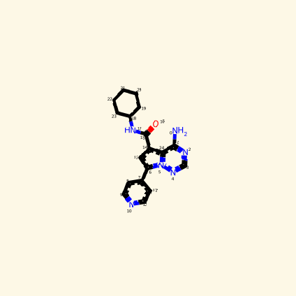 Nc1ncnn2c(-c3ccncc3)cc(C(=O)NC3CCCCC3)c12